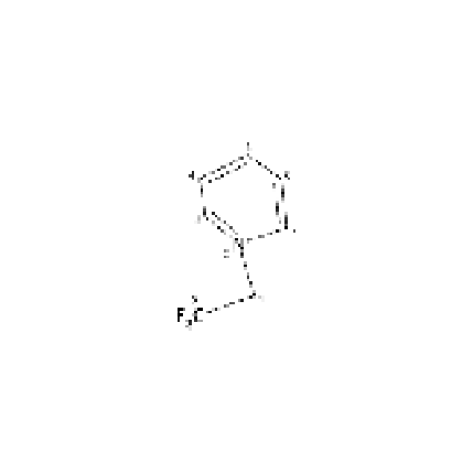 FC(F)(F)C[n+]1ccccc1